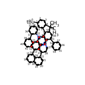 CC(C)(C)c1ccc2c(c1)-c1c(N(c3ccc(-c4cccc5cccc(-c6ccncc6)c45)cc3)c3ccccc3-c3ccccc3-c3ccccc3)cc(-c3ccccc3)cc1C2(C)C